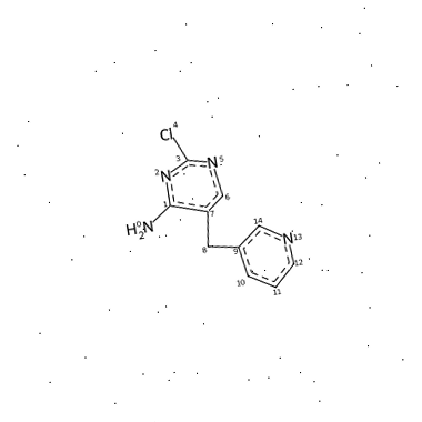 Nc1nc(Cl)ncc1Cc1cccnc1